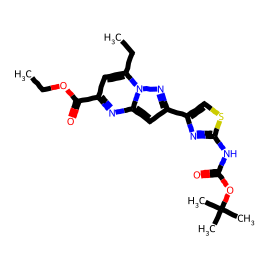 CCOC(=O)c1cc(CC)n2nc(-c3csc(NC(=O)OC(C)(C)C)n3)cc2n1